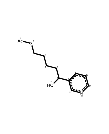 CC(=O)SCCCCC(O)c1cccnc1